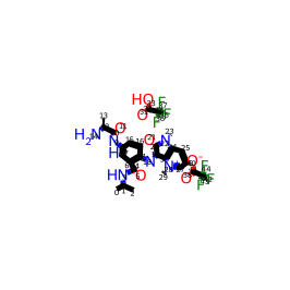 CC(C)NC(=O)c1cc(NC(=O)[C@H](C)N)ccc1N=C1C(=O)N(C)c2ccc[n+](C)c21.O=C(O)C(F)(F)F.O=C([O-])C(F)(F)F